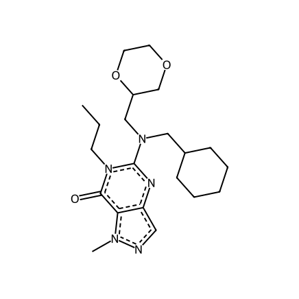 CCCn1c(N(CC2CCCCC2)CC2COCCO2)nc2cnn(C)c2c1=O